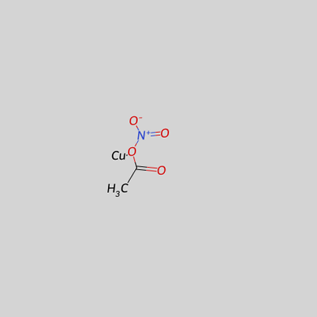 CC(=O)O[N+](=O)[O-].[Cu]